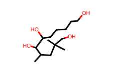 CC(CC(C)(C)CO)C(O)C(O)CCCCCO